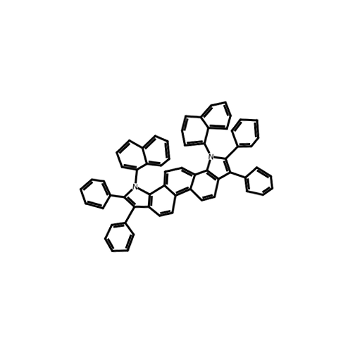 c1ccc(-c2c(-c3ccccc3)n(-c3cccc4ccccc34)c3c2ccc2c4ccc5c(-c6ccccc6)c(-c6ccccc6)n(-c6cccc7ccccc67)c5c4ccc23)cc1